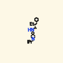 CC/C(=C\c1ccccc1)[C@@H]1C[C@H]1NC1CC2(CCN(CC(C)C)CC2)C1